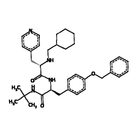 CC(C)(C)NC(=O)[C@H](Cc1ccc(OCc2ccccc2)cc1)NC(=O)[C@H](Cc1ccncc1)NCC1CCCCC1